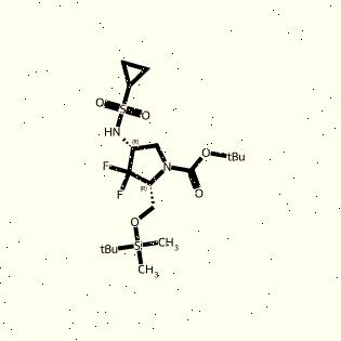 CC(C)(C)OC(=O)N1C[C@@H](NS(=O)(=O)C2CC2)C(F)(F)[C@H]1CO[Si](C)(C)C(C)(C)C